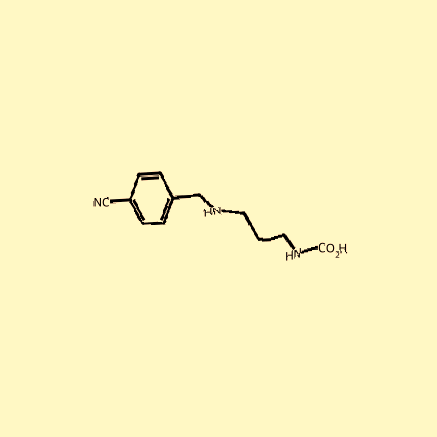 N#Cc1ccc(CNCCCNC(=O)O)cc1